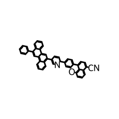 N#Cc1ccc2c3c(cccc13)Oc1cc(-c3ccc(-c4cc5c6ccccc6c(-c6ccccc6)cc5c5ccccc45)cn3)ccc1-2